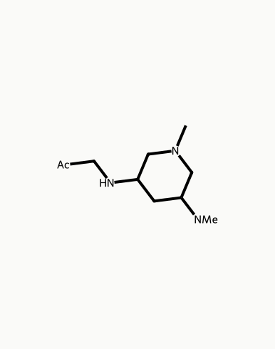 CNC1CC(NCC(C)=O)CN(C)C1